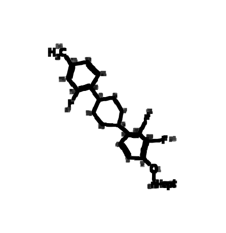 CCCCCCCOc1ccc(C2CCC(c3ccc(C)cc3F)CC2)c(F)c1F